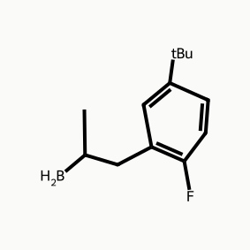 BC(C)Cc1cc(C(C)(C)C)ccc1F